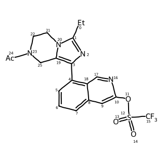 CCc1nc(-c2cccc3cc(OS(=O)(=O)C(F)(F)F)ncc23)c2n1CCN(C(C)=O)C2